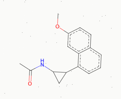 COc1ccc2cccc(C3CC3NC(C)=O)c2c1